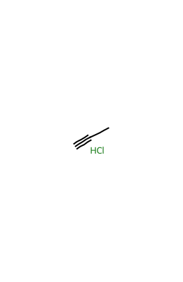 C#CC.Cl